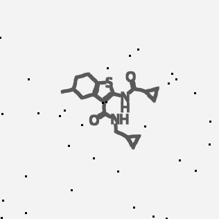 CC1CCc2sc(NC(=O)C3CC3)c(C(=O)NCC3CC3)c2C1